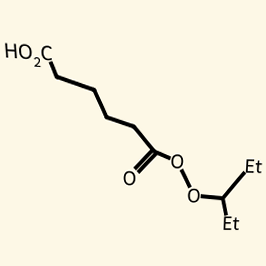 CCC(CC)OOC(=O)CCCCC(=O)O